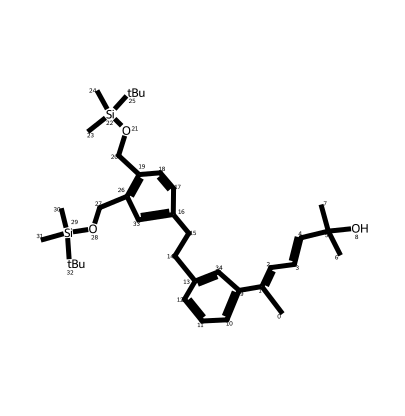 CC(=CC=CC(C)(C)O)c1cccc(CCc2ccc(CO[Si](C)(C)C(C)(C)C)c(CO[Si](C)(C)C(C)(C)C)c2)c1